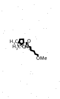 COCCCCCOC(=O)[C@H]1CC[C@@](C)(C(=O)O)C1(C)C